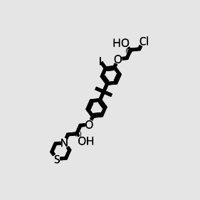 CC(C)(c1ccc(OC[C@@H](O)CN2CCSCC2)cc1)c1ccc(OC[C@@H](O)CCl)c(I)c1